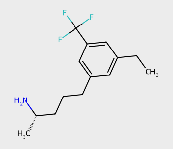 CCc1cc(CCC[C@H](C)N)cc(C(F)(F)F)c1